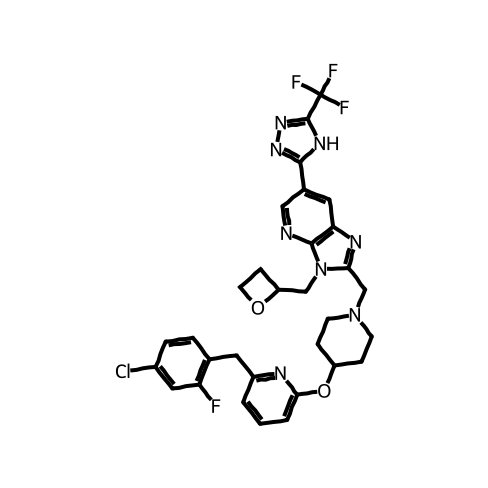 Fc1cc(Cl)ccc1Cc1cccc(OC2CCN(Cc3nc4cc(-c5nnc(C(F)(F)F)[nH]5)cnc4n3CC3CCO3)CC2)n1